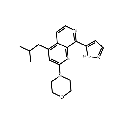 C[C](C)Cc1cc(N2CCOCC2)nc2c(-c3ccn[nH]3)nccc12